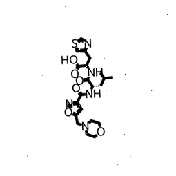 CC(C)C[C@H](NC(=O)c1cc(CN2CCOCC2)on1)C(=O)NC(Cc1cscn1)C(=O)O